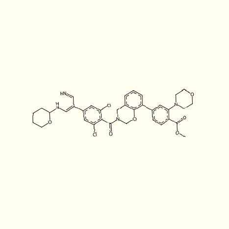 COC(=O)c1ccc(-c2cccc3c2OCN(C(=O)c2c(Cl)cc(/C(C=N)=C/NC4CCCCO4)cc2Cl)C3)cc1N1CCOCC1